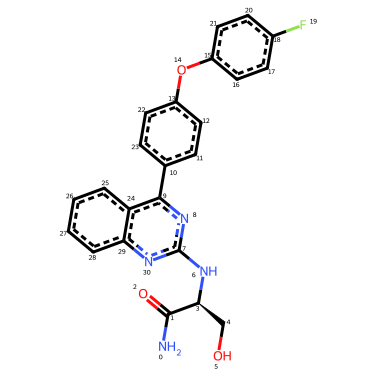 NC(=O)[C@H](CO)Nc1nc(-c2ccc(Oc3ccc(F)cc3)cc2)c2ccccc2n1